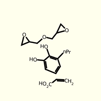 C(OCC1CO1)C1CO1.C=CC(=O)O.CCCc1cccc(O)c1O